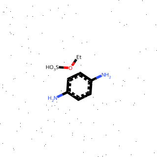 CCOS(=O)(=O)O.Nc1ccc(N)cc1